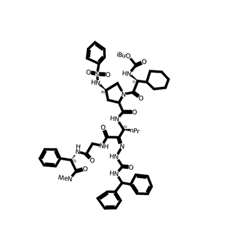 CCC[C@H](NC(=O)C1C[C@@H](NS(=O)(=O)c2ccccc2)CN1C(=O)[C@@H](NC(=O)OCC(C)C)C1CCCCC1)C(=NNC(=O)NC(c1ccccc1)c1ccccc1)C(=O)NCC(=O)N[C@H](C(=O)NC)c1ccccc1